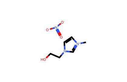 C[n+]1ccn(CCO)c1.O=[N+]([O-])[O-]